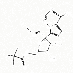 CN=C[C@@]1(c2ccc3c(N)ncnn23)O[C@H](COC(=O)C(C)(C)C)[C@@H](O)[C@H]1O